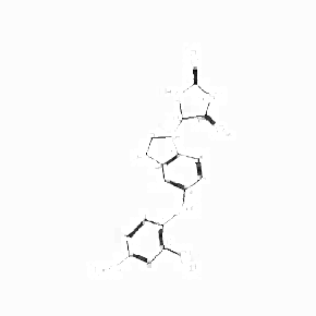 O=Cc1ccc(Oc2ccc3c(c2)CC[C@H]3C2SC(=O)NC2=O)c(Cl)c1